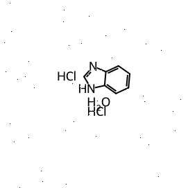 Cl.Cl.O.c1ccc2[nH]cnc2c1